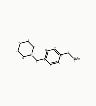 CNCc1ccc(CN2CCCCC2)cc1